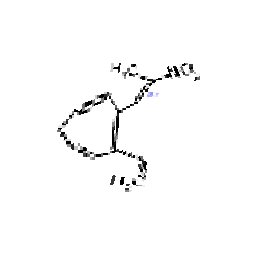 C=CC1=C(/C=C(\C)[N+](=O)[O-])C=CCC=C1